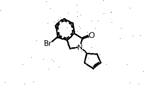 O=C1c2cccc(Br)c2CN1C1CC=CC1